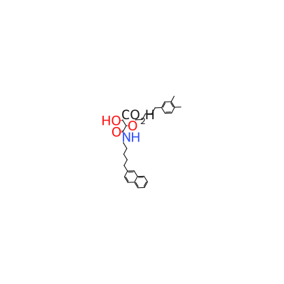 Cc1ccc(CCCCCOC(C(=O)NCCCCCc2ccc3ccccc3c2)C(O)C(=O)O)cc1C